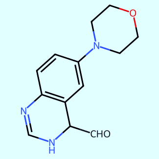 O=CC1NC=Nc2ccc(N3CCOCC3)cc21